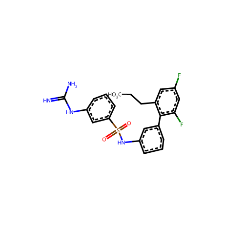 N=C(N)Nc1cccc(S(=O)(=O)Nc2cccc(-c3c(F)cc(F)cc3CCC(=O)O)c2)c1